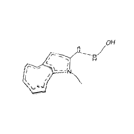 Cn1c(OBO)cc2ccccc21